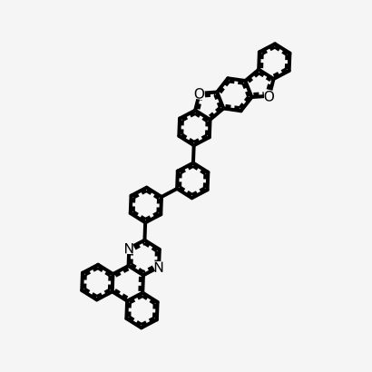 c1cc(-c2cccc(-c3cnc4c5ccccc5c5ccccc5c4n3)c2)cc(-c2ccc3oc4cc5c(cc4c3c2)oc2ccccc25)c1